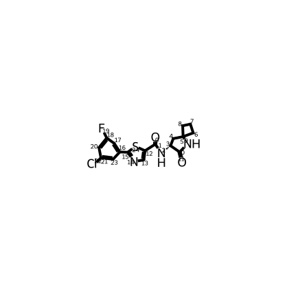 O=C(N[C@@H]1CC2(CCC2)NC1=O)c1cnc(-c2cc(F)cc(Cl)c2)s1